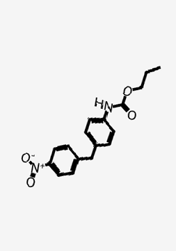 CCCOC(=O)Nc1ccc(Cc2ccc([N+](=O)[O-])cc2)cc1